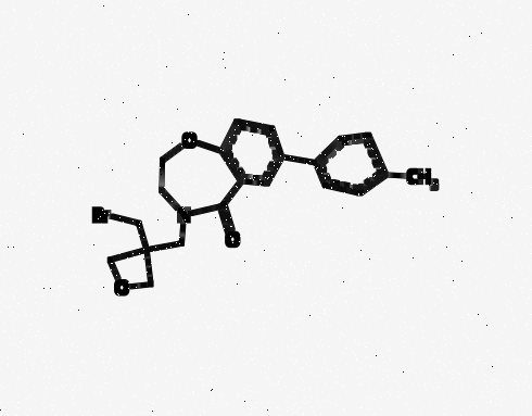 Cc1ccc(-c2ccc3c(c2)C(=O)N(CC2(CBr)COC2)CCO3)cc1